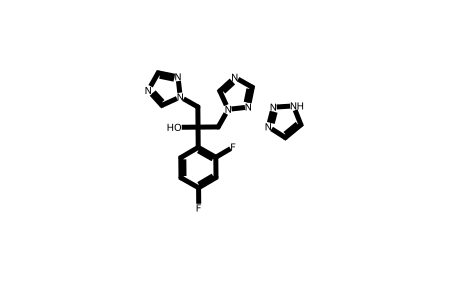 OC(Cn1cncn1)(Cn1cncn1)c1ccc(F)cc1F.c1c[nH]nn1